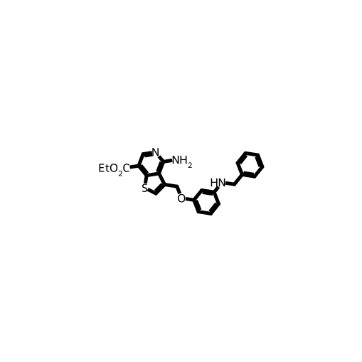 CCOC(=O)c1cnc(N)c2c(COc3cccc(NCc4ccccc4)c3)csc12